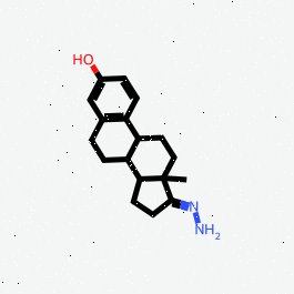 CC12CCC3c4ccc(O)cc4CCC3C1CC/C2=N\N